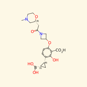 CN1CCO[C@H](CC(=O)N2CC(Oc3ccc([C@@H]4C[C@@H]4B(O)O)c(O)c3C(=O)O)C2)C1